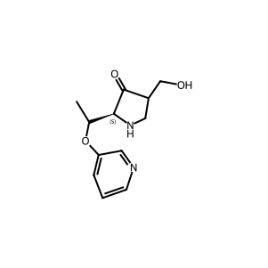 CC(Oc1cccnc1)[C@@H]1NCC(CO)C1=O